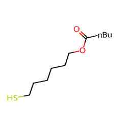 CCCCC(=O)OCCCCCCS